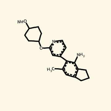 COC1CCC(Oc2cc(-c3c(C)cc4c(c3N)CCC4)ccn2)CC1